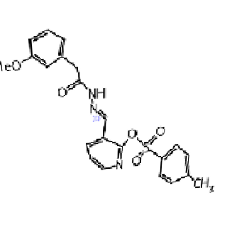 COc1cccc(CC(=O)N/N=C/c2cccnc2OS(=O)(=O)c2ccc(C)cc2)c1